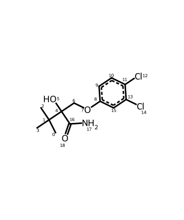 CC(C)(C)C(O)(COc1ccc(Cl)c(Cl)c1)C(N)=O